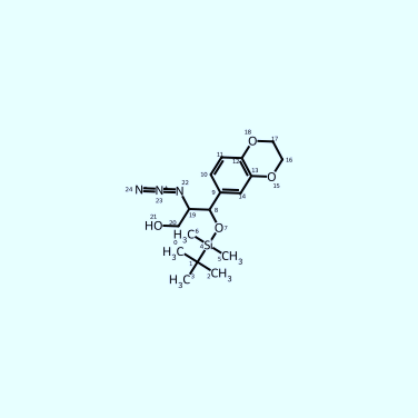 CC(C)(C)[Si](C)(C)OC(c1ccc2c(c1)OCCO2)C(CO)N=[N+]=[N-]